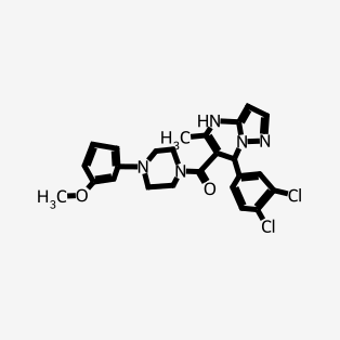 COc1cccc(N2CCN(C(=O)C3=C(C)Nc4ccnn4C3c3ccc(Cl)c(Cl)c3)CC2)c1